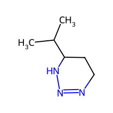 CC(C)C1CCN=NN1